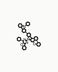 c1ccc(-c2nc(-n3c4cc(-c5ccc6c7ccccc7n(-c7ccccc7)c6c5)ccc4c4c5cccc6c5c(cc43)Oc3ccccc3-6)nc3c2oc2ccccc23)cc1